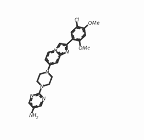 COc1cc(OC)c(-c2cn3ccc(N4CCN(c5ncc(N)cn5)CC4)cc3n2)cc1Cl